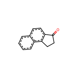 O=C1CCc2c1ccc1ccccc21